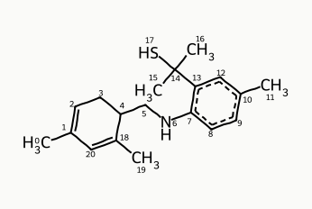 CC1=CCC(CNc2ccc(C)cc2C(C)(C)S)C(C)=C1